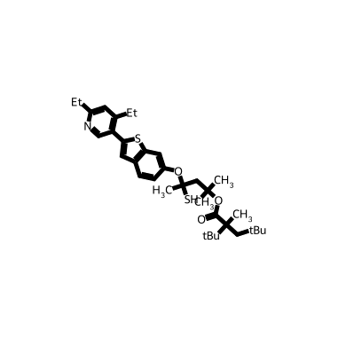 CCc1cc(CC)c(-c2cc3ccc(OC(C)(S)CC(C)(C)OC(=O)C(C)(CC(C)(C)C)C(C)(C)C)cc3s2)cn1